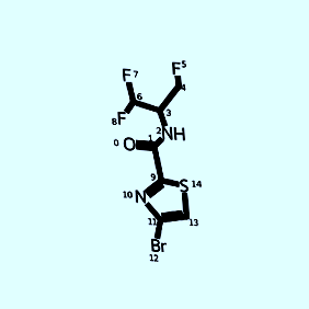 O=C(NC(CF)C(F)F)c1nc(Br)cs1